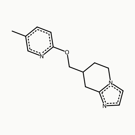 Cc1ccc(OCC2CCn3ccnc3C2)nc1